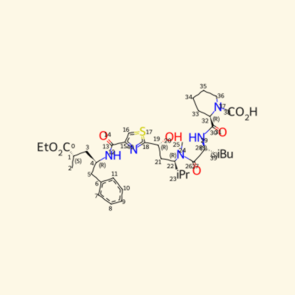 CCOC(=O)[C@@H](C)C[C@H](Cc1ccccc1)NC(=O)c1csc([C@H](O)C[C@H](C(C)C)N(C)C(=O)[C@@H](NC(=O)[C@H]2CCCCN2C(=O)O)[C@@H](C)CC)n1